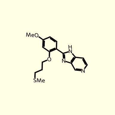 COc1ccc(-c2nc3cnccc3[nH]2)c(OCCCSC)c1